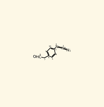 [N-]=[N+]=Nc1ccc(CC=O)cc1